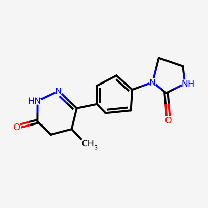 CC1CC(=O)NN=C1c1ccc(N2CCNC2=O)cc1